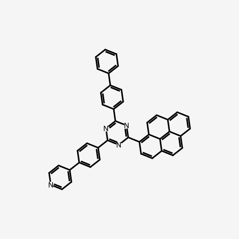 c1ccc(-c2ccc(-c3nc(-c4ccc(-c5ccncc5)cc4)nc(-c4ccc5ccc6cccc7ccc4c5c67)n3)cc2)cc1